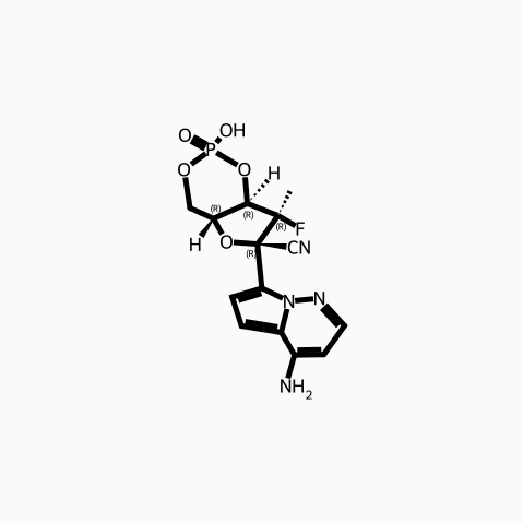 C[C@@]1(F)[C@@H]2OP(=O)(O)OC[C@H]2O[C@@]1(C#N)c1ccc2c(N)ccnn12